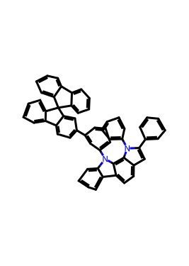 c1ccc(-c2cc3ccc4c5ccccc5n(-c5cccc(-c6ccc7c(c6)C6(c8ccccc8-c8ccccc86)c6ccccc6-7)c5)c4c3n2-c2ccccc2)cc1